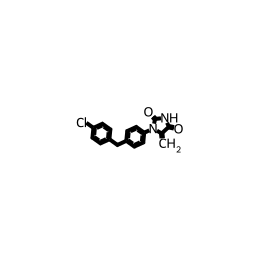 C=C1C(=O)NC(=O)N1c1ccc(Cc2ccc(Cl)cc2)cc1